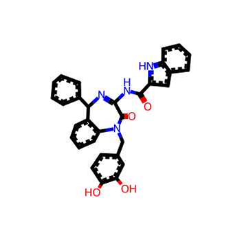 O=C(NC1=NC(c2ccccc2)c2ccccc2N(Cc2ccc(O)c(O)c2)C1=O)c1cc2ccccc2[nH]1